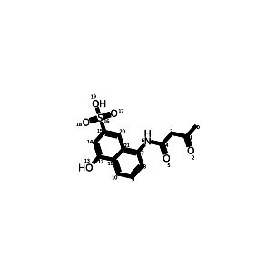 CC(=O)CC(=O)Nc1cccc2c(O)cc(S(=O)(=O)O)cc12